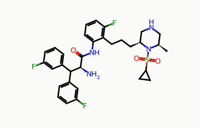 C[C@@H]1CNC[C@H](CCCc2c(F)cccc2NC(=O)[C@@H](N)C(c2cccc(F)c2)c2cccc(F)c2)N1S(=O)(=O)C1CC1